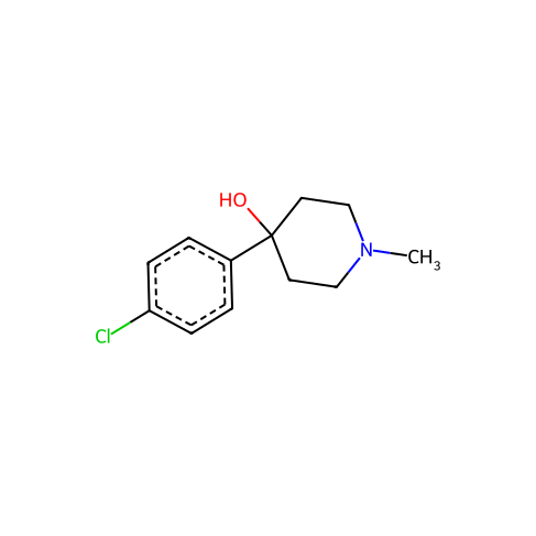 CN1CCC(O)(c2ccc(Cl)cc2)CC1